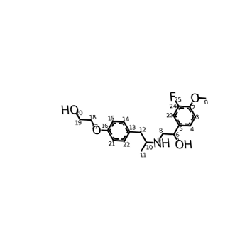 COc1ccc(C(O)CNC(C)Cc2ccc(OCCO)cc2)cc1F